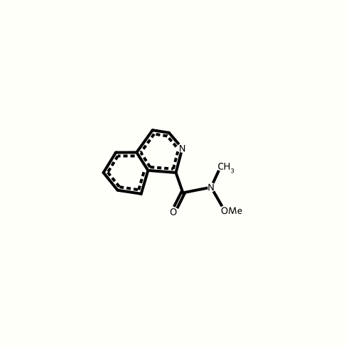 CON(C)C(=O)c1nccc2ccccc12